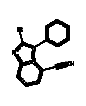 C#Cc1cccc2nc(CC)c(-c3ccccc3)n12